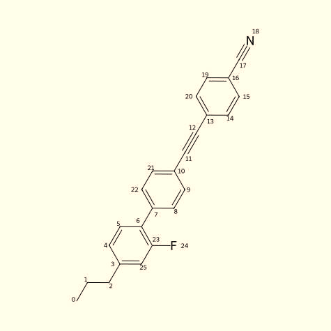 CCCc1ccc(-c2ccc(C#Cc3ccc(C#N)cc3)cc2)c(F)c1